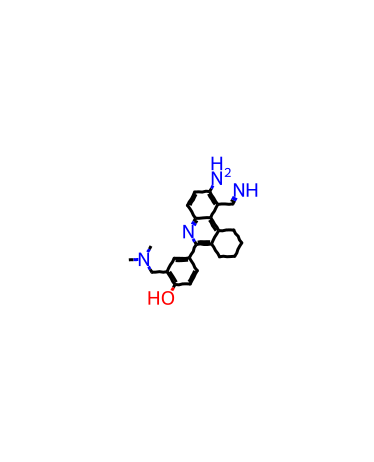 CN(C)Cc1cc(-c2nc3ccc(N)c(C=N)c3c3c2CCCC3)ccc1O